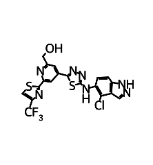 OCc1cc(-c2nnc(Nc3ccc4[nH]ncc4c3Cl)s2)cc(-c2nc(C(F)(F)F)cs2)n1